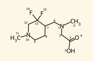 CN(CC(=O)O)CC1CCN(C)CC1(F)F